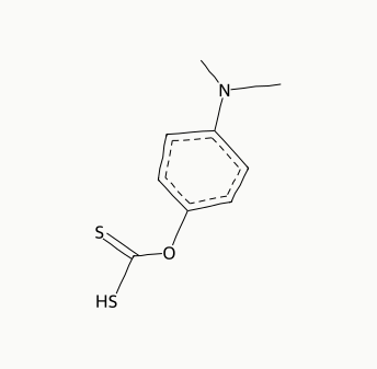 CN(C)c1ccc(OC(=S)S)cc1